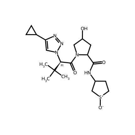 CC(C)(C)[C@H](C(=O)N1CC(O)CC1C(=O)NC1CC[S+]([O-])C1)n1cc(C2CC2)nn1